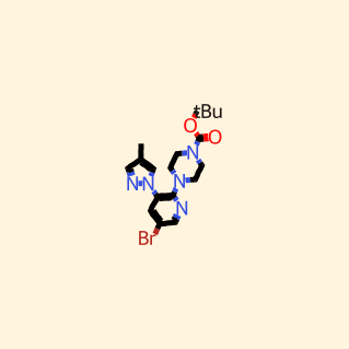 Cc1cnn(-c2cc(Br)cnc2N2CCN(C(=O)OC(C)(C)C)CC2)c1